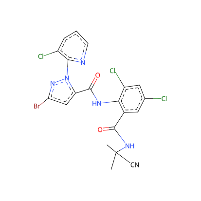 CC(C)(C#N)NC(=O)c1cc(Cl)cc(Cl)c1NC(=O)c1cc(Br)nn1-c1ncccc1Cl